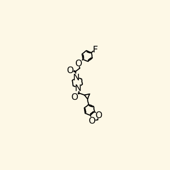 O=C(COc1ccc(F)cc1)N1CCN(C(=O)C2CC2c2ccc3c(c2)OCO3)CC1